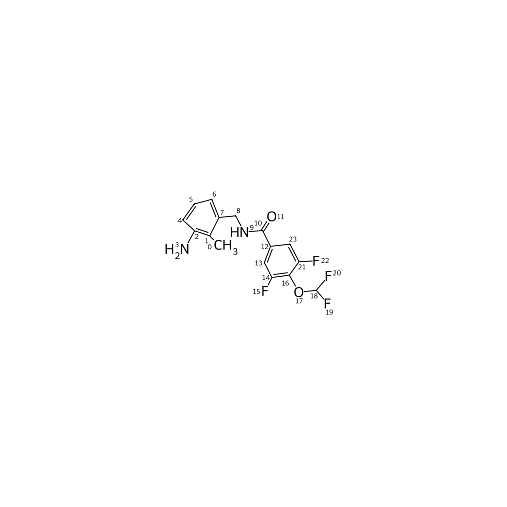 Cc1c(N)cccc1CNC(=O)c1cc(F)c(OC(F)F)c(F)c1